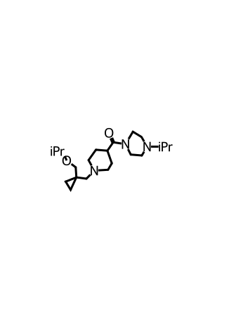 CC(C)OCC1(CN2CCC(C(=O)N3CCN(C(C)C)CC3)CC2)CC1